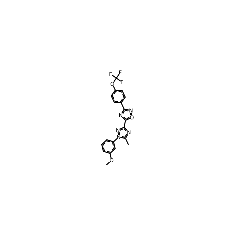 COc1cccc(-n2nc(-c3nc(-c4ccc(OC(F)(F)F)cc4)no3)nc2C)c1